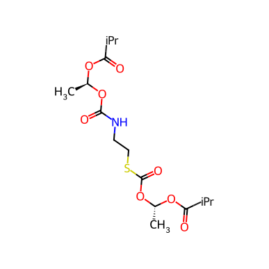 CC(C)C(=O)O[C@H](C)OC(=O)NCCSC(=O)O[C@@H](C)OC(=O)C(C)C